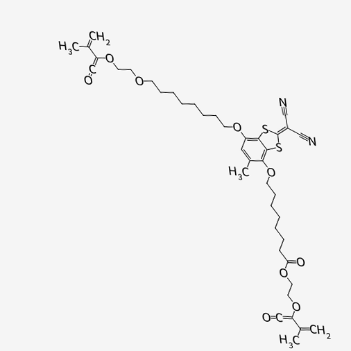 C=C(C)C(=C=O)OCCOCCCCCCCCOc1cc(C)c(OCCCCCCCC(=O)OCCOC(=C=O)C(=C)C)c2c1SC(=C(C#N)C#N)S2